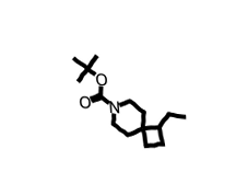 CCC1CCC12CCN(C(=O)OC(C)(C)C)CC2